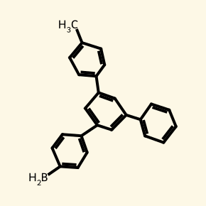 Bc1ccc(-c2cc(-c3ccccc3)cc(-c3ccc(C)cc3)c2)cc1